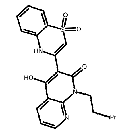 CC(C)CCn1c(=O)c(C2=CS(=O)(=O)c3ccccc3N2)c(O)c2cccnc21